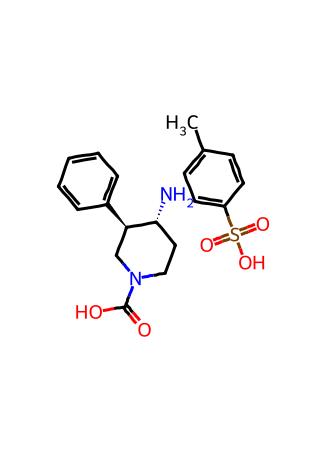 Cc1ccc(S(=O)(=O)O)cc1.N[C@@H]1CCN(C(=O)O)C[C@H]1c1ccccc1